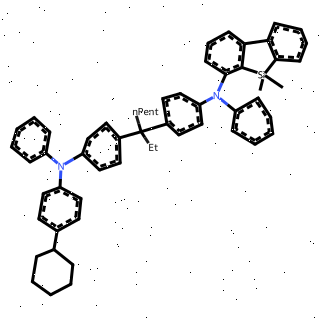 CCCCCC(CC)(c1ccc(N(c2ccccc2)c2ccc(C3CCCCC3)cc2)cc1)c1ccc(N(c2ccccc2)c2cccc3c2[Si](C)(C)c2ccccc2-3)cc1